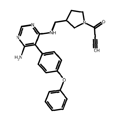 C#CC(=O)N1CCC(CNc2ncnc(N)c2-c2ccc(Oc3ccccc3)cc2)C1